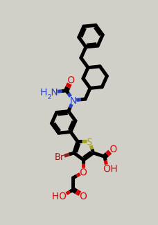 NC(=O)N(CC1CCCC(Cc2ccccc2)C1)c1cccc(-c2sc(C(=O)O)c(OCC(=O)O)c2Br)c1